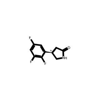 O=C1C[C@H](c2cc(F)cc(F)c2F)CN1